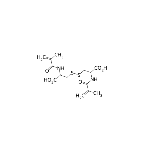 C=C(C)C(=O)NC(CSSCC(NC(=O)C(=C)C)C(=O)O)C(=O)O